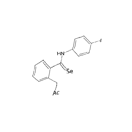 CC(=O)Cc1ccccc1C(=[Se])Nc1ccc(I)cc1